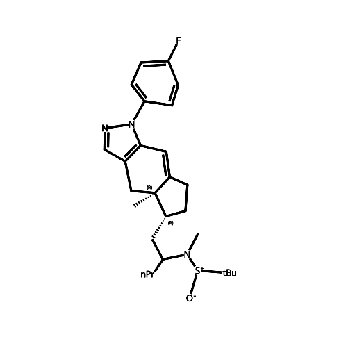 CCCC(C[C@H]1CCC2=Cc3c(cnn3-c3ccc(F)cc3)C[C@@]21C)N(C)[S+]([O-])C(C)(C)C